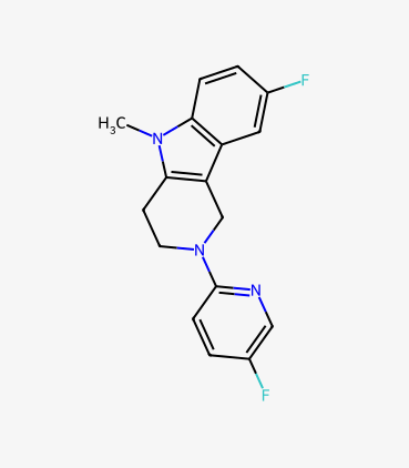 Cn1c2c(c3cc(F)ccc31)CN(c1ccc(F)cn1)CC2